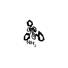 Nc1cccc(N(S(=O)(=O)c2ccccc2)S(=O)(=O)c2ccccc2)c1